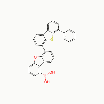 OB(O)c1cccc2oc3c(-c4cccc5c4sc4c(-c6ccccc6)cccc45)cccc3c12